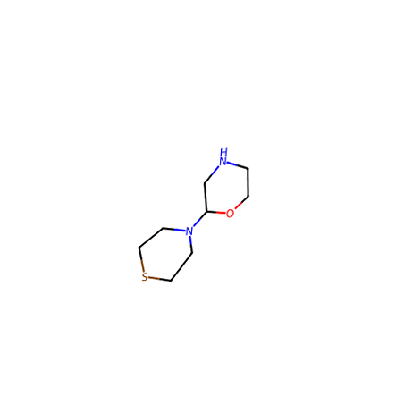 C1COC(N2CCSCC2)CN1